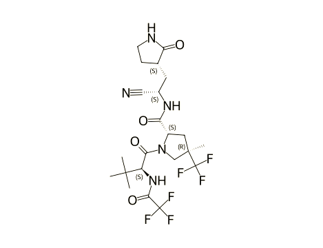 CC(C)(C)[C@H](NC(=O)C(F)(F)F)C(=O)N1C[C@](C)(C(F)(F)F)C[C@H]1C(=O)N[C@H](C#N)C[C@@H]1CCNC1=O